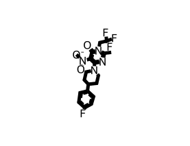 Cc1nc(N2CCC(c3ccc(F)cc3)CC2)c([N+](=O)[O-])c(=O)n1CC(F)(F)F